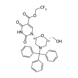 O=C(OCC(F)(F)F)c1cn([C@H]2CN(C(c3ccccc3)(c3ccccc3)c3ccccc3)C[C@@H](CO)O2)c(=O)[nH]c1=O